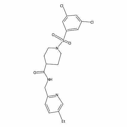 CCc1ccc(CNC(=O)C2CCN(S(=O)(=O)c3cc(Cl)cc(Cl)c3)CC2)nc1